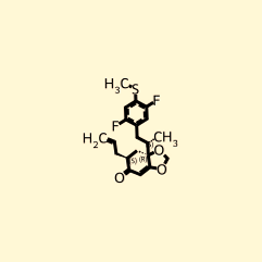 C=CC[C@H]1C[C@]2([C@@H](C)Cc3cc(F)c(SC)cc3F)OCOC2=CC1=O